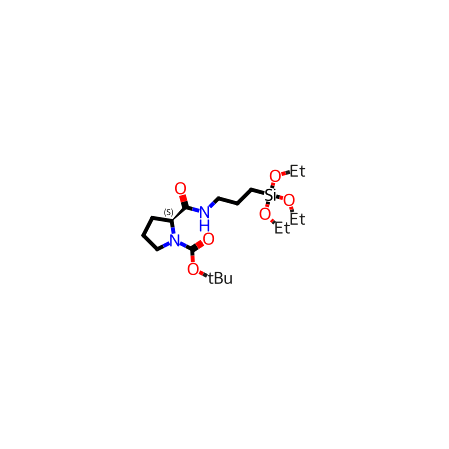 CCO[Si](CCCNC(=O)[C@@H]1CCCN1C(=O)OC(C)(C)C)(OCC)OCC